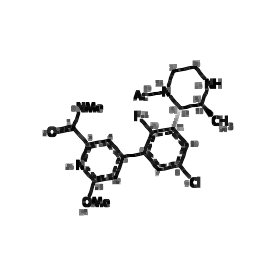 CNC(=O)c1cc(-c2cc(Cl)cc([C@H]3[C@H](C)NCCN3C(C)=O)c2F)cc(OC)n1